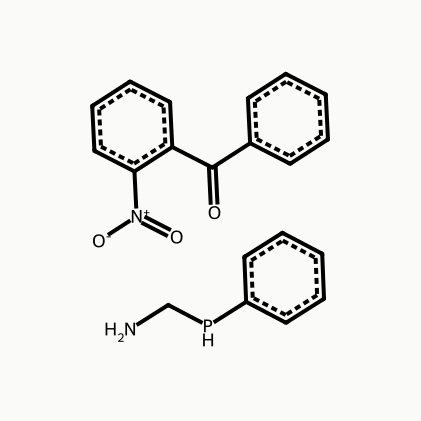 NCPc1ccccc1.O=C(c1ccccc1)c1ccccc1[N+](=O)[O-]